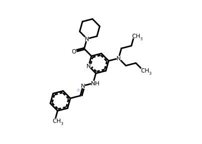 CCCN(CCC)c1cc(N/N=C/c2cccc(C)c2)nc(C(=O)N2CCCCC2)c1